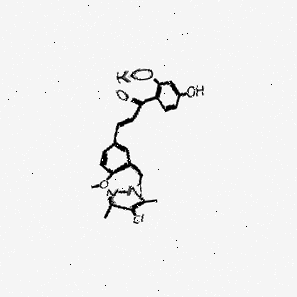 COc1ccc(/C=C/C(=O)c2ccc(O)cc2O)cc1Cn1nc(C)c(Cl)c1C